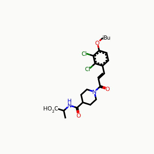 CCC(C)Oc1ccc(/C=C/C(=O)N2CCC(C(=O)NC(C)C(=O)O)CC2)c(Cl)c1Cl